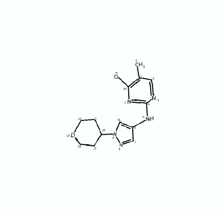 Cc1cnc(Nc2cnn(C3CCOCC3)c2)nc1Cl